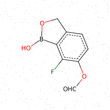 O=COc1ccc2c(c1F)B(O)OC2